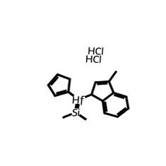 CC1=C[CH]([Hf]([C]2=CC=CC2)=[Si](C)C)c2ccccc21.Cl.Cl